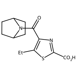 CCc1sc(C(=O)O)nc1C(=O)N1C2CCC1CC2